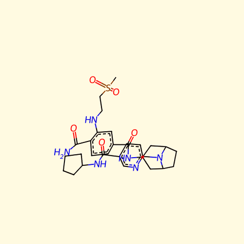 CS(=O)(=O)CCNc1cc(C(=O)NC2CC3CCC(C2)N3c2ccc(C(=O)NC3CCCC3)cn2)ccc1C(N)=O